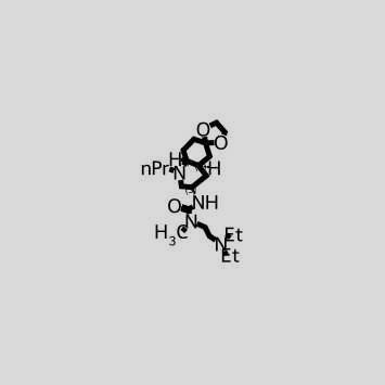 CCCN1C[C@@H](NC(=O)N(C)CCN(CC)CC)C[C@@H]2CC3(CC[C@H]21)OCCO3